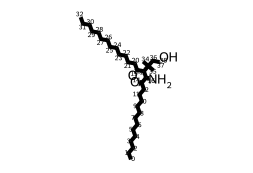 CCCCCCCCCCCCCC(=O)C(N)C(C(=O)CCCCCCCCCCCCC)C(C)(C)CCO